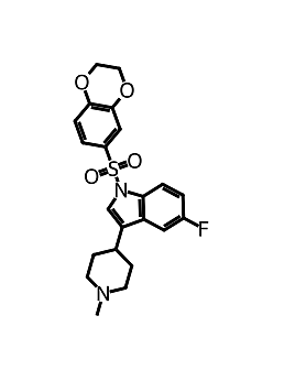 CN1CCC(c2cn(S(=O)(=O)c3ccc4c(c3)OCCO4)c3ccc(F)cc23)CC1